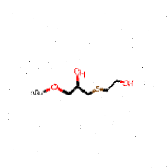 CCCCOCC(O)CSCCO